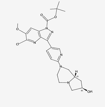 COc1cc2c(nc1Cl)c(-c1ccc(N3CCN4C[C@H](O)C[C@H]4C3)nc1)nn2C(=O)OC(C)(C)C